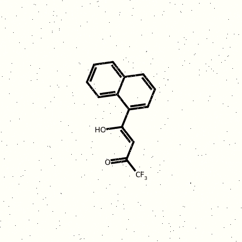 O=C(C=C(O)c1cccc2ccccc12)C(F)(F)F